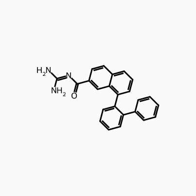 NC(N)=NC(=O)c1ccc2cccc(-c3ccccc3-c3ccccc3)c2c1